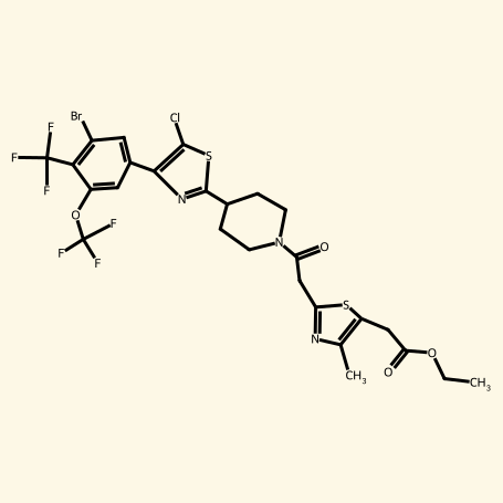 CCOC(=O)Cc1sc(CC(=O)N2CCC(c3nc(-c4cc(Br)c(C(F)(F)F)c(OC(F)(F)F)c4)c(Cl)s3)CC2)nc1C